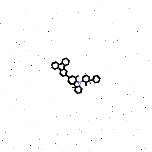 CC1C=C(c2ccc3c4c(c5c(c3c2)CCCC5)C=CCC4)C=CC2=C1N(C1C=CC[C@](C)(C3=CC=CC[C@@H]3C)C1C)C1C=CC=CC21C